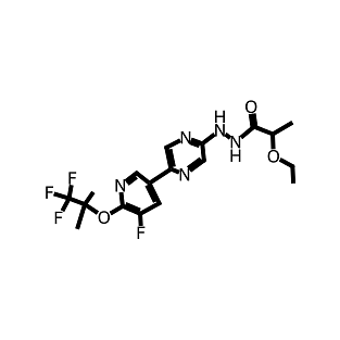 CCOC(C)C(=O)NNc1cnc(-c2cnc(OC(C)(C)C(F)(F)F)c(F)c2)cn1